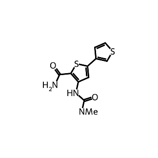 CNC(=O)Nc1cc(-c2ccsc2)sc1C(N)=O